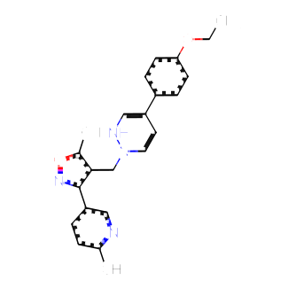 CCOc1ccc(C2=CNN(Cc3c(-c4ccc(C)nc4)noc3C)C=C2)cc1